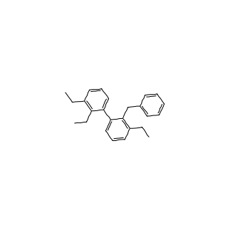 CCc1cccc(-c2cccc(CC)c2Cc2ccccc2)c1CC